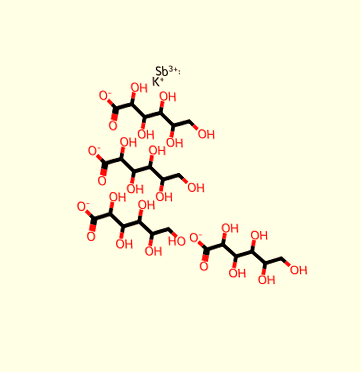 O=C([O-])C(O)C(O)C(O)C(O)CO.O=C([O-])C(O)C(O)C(O)C(O)CO.O=C([O-])C(O)C(O)C(O)C(O)CO.O=C([O-])C(O)C(O)C(O)C(O)CO.[K+].[Sb+3]